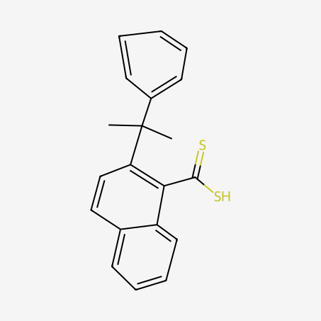 CC(C)(c1ccccc1)c1ccc2ccccc2c1C(=S)S